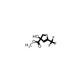 COC(=O)C1(O)C=C(C(F)(F)F)SC1